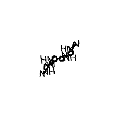 N#CNc1cccc(-c2nc3cc(-c4ccc5[nH]c(-c6cccc(NC#N)c6)nc5c4)ccc3[nH]2)c1